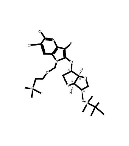 CC(C)(C)[Si](C)(C)O[C@@H]1CO[C@H]2[C@@H]1OC[C@H]2Oc1c(F)c2nc(Cl)c(Cl)cc2n1COCC[Si](C)(C)C